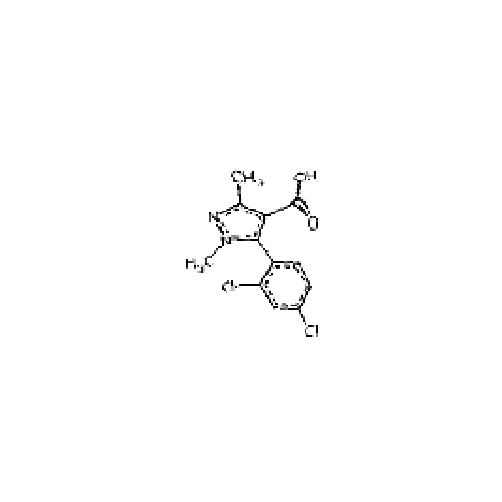 Cc1nn(C)c(-c2ccc(Cl)cc2Cl)c1C(=O)O